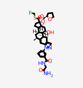 C[C@H]1C[C@@H]2[C@H]([C@@H](O)C[C@@]3(C)[C@H]2CC[C@]3(OC(=O)[C@H]2CCCO2)C(=O)SCF)[C@@]2(C)Cc3cnn(-c4cccc(C(=O)NCC(N)=O)c4)c3C=C12